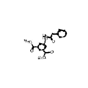 COC(=O)c1cc(NC(=O)Cc2ccccc2)cc(C(=O)OC)c1